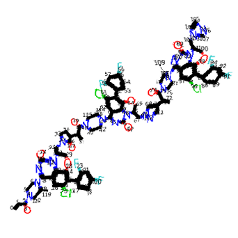 C=CC(=O)N1CCN(c2nc(=O)n3c4c(c(-c5ccc(F)cc5F)c(Cl)cc24)OCC3CN2CCC(C(=C)C(=O)N3CCN(c4nc(=O)n5c6c(c(-c7ccc(F)cc7F)c(Cl)cc46)OCC5Cn4cc(C(=C)C(=O)N5CCN(c6nc(=O)n7c8c(c(-c9ccc(F)cc9F)c(Cl)cc68)OCC7Cn6ccnc6)[C@@H](C)C5)cn4)[C@@H](C)C3)C2=O)[C@@H](C)C1